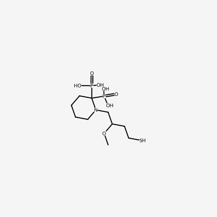 COC(CCS)CN1CCCCC1(P(=O)(O)O)P(=O)(O)O